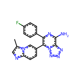 Cc1cnc2ccc(-c3c(-c4ccc(F)cc4)nc(N)c4nnnn34)cn12